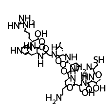 CC(C)C[C@H](NC(=O)[C@@H]1CCCN1C(=O)[C@H](CCCCN)NC(=O)[C@H](CO)NC(=O)[C@@H](NC(=O)[C@@H](N)CS)[C@@H](C)O)C(=O)NCC(=O)N[C@@H](Cc1c[nH]cn1)C(=O)N[C@@H](CCCNC(=N)N)C(=O)O